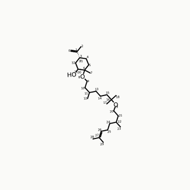 C=C(C)[C@@H]1CCC(C)(OCCC(C)CCCC(C)(C)OCCC(C)CCC=C(C)C)C(O)C1